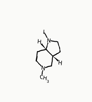 CN1CC[C@H]2[C@H](CCN2I)C1